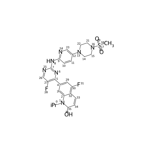 CC(C)N1c2cc(-c3nc(Nc4ccc(N5CCN(S(C)(=O)=O)CC5)cn4)ncc3F)cc(F)c2C=CC1O